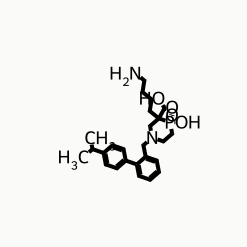 CC(C)c1ccc(-c2ccccc2CN2CCP(=O)(O)C(CCCCN)(C(=O)O)C2)cc1